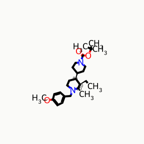 CC[C@H]1[C@@H](C)N(Cc2ccc(OC)cc2)CC[C@H]1C1CCN(C(=O)OC(C)(C)C)CC1